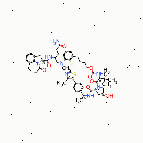 Cc1ncsc1-c1ccc([C@H](C)NC(=O)[C@@H]2C[C@@H](O)CN2C(=O)[C@@H](NC(=O)OCCCCc2cccc(N(C)CC(CCC(N)=O)NC(=O)[C@@H]3Cc4cccc5c4N3C(=O)CCC5)c2F)C(C)(C)C)cc1